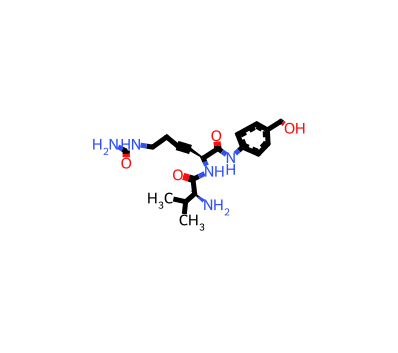 CC(C)[C@H](N)C(=O)N[C@@H](C#CCCNC(N)=O)C(=O)Nc1ccc(CO)cc1